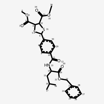 COC(=O)C1SC(c2ccc(C(=O)NC(CC(C)C)C(=O)OCc3ccccc3)cc2)SC1C(=O)OC